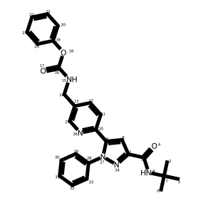 CC(C)(C)NC(=O)c1cc(-c2ccc(CNC(=O)Oc3ccccc3)cn2)n(-c2ccccc2)n1